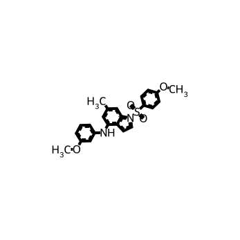 COc1ccc(S(=O)(=O)n2ccc3c(Nc4cccc(OC)c4)cc(C)cc32)cc1